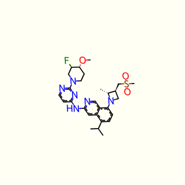 CO[C@@H]1CCN(c2nccc(Nc3cc4c(C(C)C)ccc(N5C[C@H](CS(C)(=O)=O)[C@H]5C)c4cn3)n2)C[C@H]1F